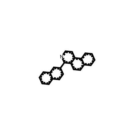 c1ccc2cc(-c3nccc4c3ccc3ccccc34)ccc2c1